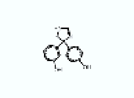 Oc1ccc(C2(c3cccc(O)c3)CNC=N2)cc1